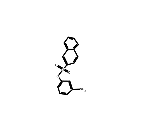 Nc1cccc(OS(=O)(=O)c2ccc3ccccc3c2)c1